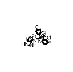 CC[C@H](Nc1ncnc2[nH]cnc12)c1nc2ccc(F)c(Cl)c2c(=O)n1-c1ccc(Cl)cc1Cl